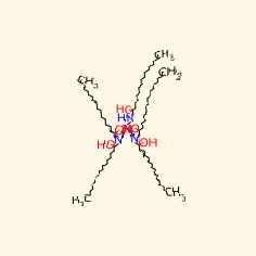 CCCCCCCCCCCCCCCCC(O)CNCCN(CCN(CC(O)CCCCCCCCCCCCCCCC)CC(O)CCCCCCCCCCCCCCCC)CCN(CC(O)CCCCCCCCCCCCCCCC)CC(O)CCCCCCCCCCCCCCCC